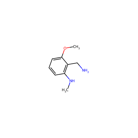 CNc1cccc(OC)c1CN